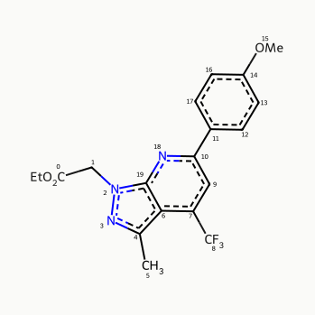 CCOC(=O)Cn1nc(C)c2c(C(F)(F)F)cc(-c3ccc(OC)cc3)nc21